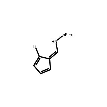 [Li][C]1=CC=C/C1=C/NCCCCC